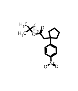 CC(C)(C)OC(=O)CC1(c2ccc([N+](=O)[O-])cc2)CCCC1